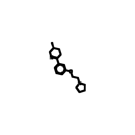 C[C@H]1CCC(c2cccc(OCCN3CCCC3)c2)=NC1